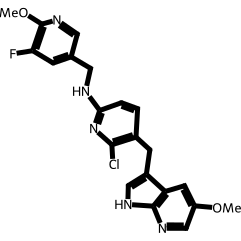 COc1cnc2[nH]cc(Cc3ccc(NCc4cnc(OC)c(F)c4)nc3Cl)c2c1